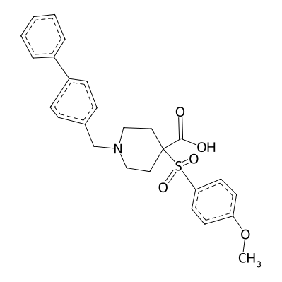 COc1ccc(S(=O)(=O)C2(C(=O)O)CCN(Cc3ccc(-c4ccccc4)cc3)CC2)cc1